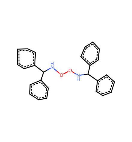 c1ccc(C(NOONC(c2ccccc2)c2ccccc2)c2ccccc2)cc1